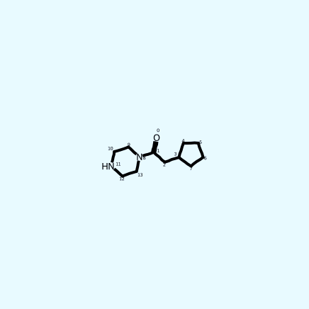 O=C(CC1CCCC1)N1CCNCC1